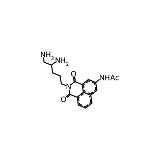 CC(=O)Nc1cc2c3c(cccc3c1)C(=O)N(CCCC(N)CN)C2=O